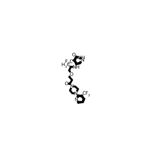 C[C@@H](COCCC(=O)N1CCN(c2ncccc2C(F)(F)F)CC1)Nc1cn[nH]c(=O)c1C(F)(F)F